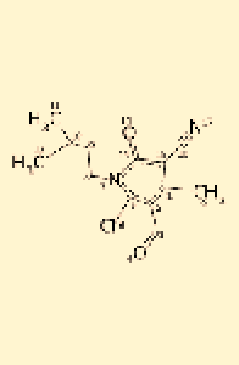 Cc1c(C=O)c(Cl)n(CCC(C)C)c(=O)c1C#N